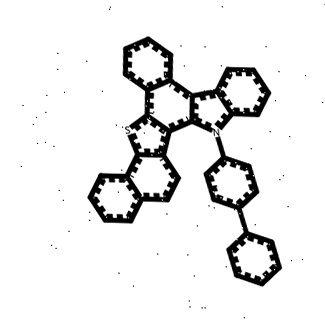 c1ccc(-c2ccc(-n3c4ccccc4c4c5ccccc5c5sc6c7ccccc7ccc6c5c43)cc2)cc1